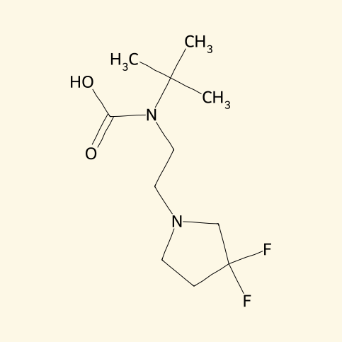 CC(C)(C)N(CCN1CCC(F)(F)C1)C(=O)O